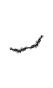 O=C(Oc1ccc(OCC2CO2)cc1)c1cnc(C(=O)Oc2ccc(OCCCCOc3ccc(OC(=O)c4cnc(C(=O)Oc5ccc(OCC6CO6)cc5)s4)cc3)cc2)s1